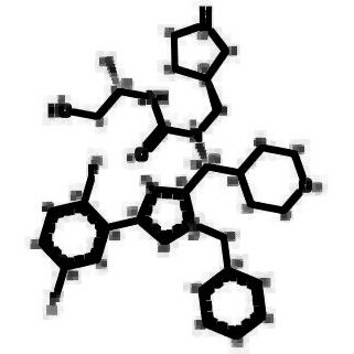 C[C@@H](CO)NC(=O)N(C[C@H]1CCNC1)[C@@H](c1nc(-c2cc(F)ccc2F)cn1Cc1ccccc1)C1CCOCC1